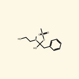 CN(CCO)C(O)(Cc1ccccc1)OS(C)(=O)=O